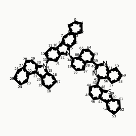 c1ccc2cc3c(cc2c1)c1ccc(-n2c4ccccc4c4c5ccccc5ccc42)cc1n3-c1cccc2c(-c3nc(-c4cccc5c4sc4ccccc45)c4ccccc4n3)cccc12